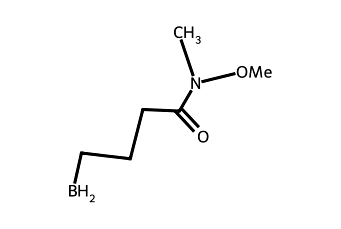 BCCCC(=O)N(C)OC